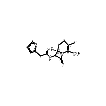 O=C(Cc1cccs1)NC1C(=O)N2C(C(=O)O)=C(F)CS[C@H]12